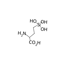 NC(CC[Si](O)(O)O)C(=O)O